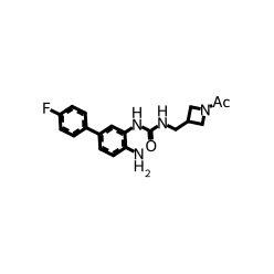 CC(=O)N1CC(CNC(=O)Nc2cc(-c3ccc(F)cc3)ccc2N)C1